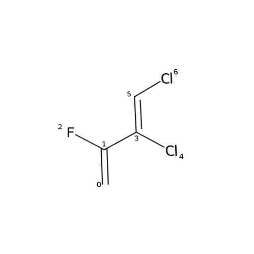 C=C(F)C(Cl)=CCl